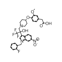 COc1cc(CC(=O)O)ccc1OC1CCN(CC(O)(c2cn(Cc3ccccc3F)c3cc([N+](=O)[O-])ccc23)C(F)(F)F)CC1